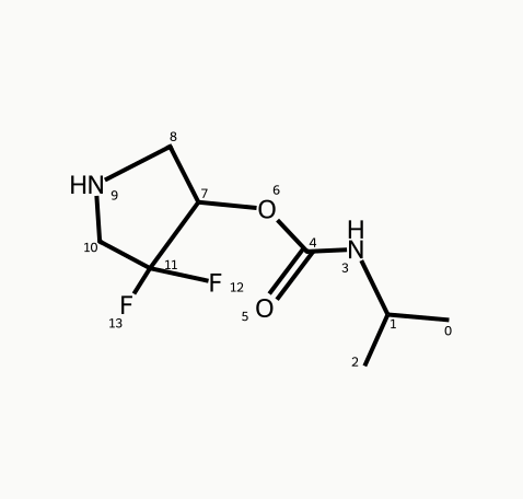 CC(C)NC(=O)OC1CNCC1(F)F